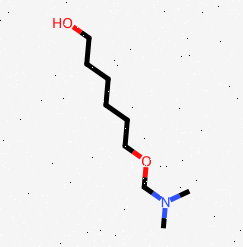 CN(C)COCCCCCCO